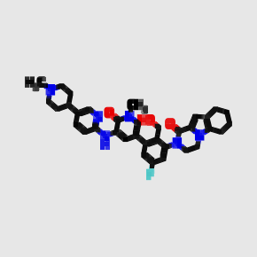 CN1CCC(c2ccc(Nc3cc(-c4cc(F)cc(N5CCn6c(cc7c6CCCC7)C5=O)c4CO)cn(C)c3=O)nc2)CC1